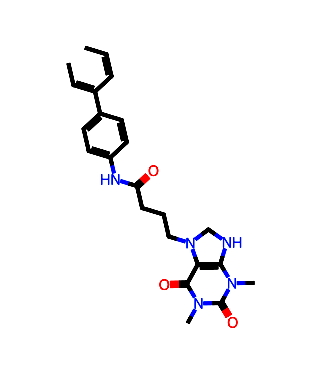 C/C=C\C(=C/C)c1ccc(NC(=O)CCCN2CNc3c2c(=O)n(C)c(=O)n3C)cc1